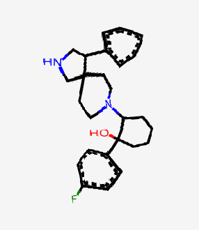 OC1(c2ccc(F)cc2)CCCCC1N1CCC2(CC1)CNCC2c1ccccc1